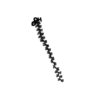 CCCCCCCCCCCCCCCCCCCCCCCCCCCC=CC(=O)O